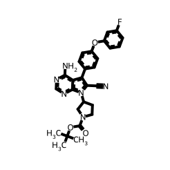 CC(C)(C)OC(=O)N1CCC(n2c(C#N)c(-c3ccc(Oc4cccc(F)c4)cc3)c3c(N)ncnc32)C1